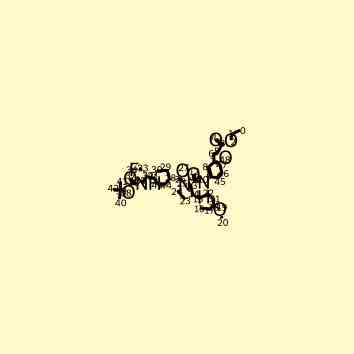 CCOC(=O)c1cc2cc(NC(=O)[C@@H]3[C@H]([C@H]4CC[C@H](OC)CC4)CCN3C(=O)[C@H]3CC[C@H]([C@@H](CF)NC(=O)OC(C)(C)C)CC3)ccc2o1